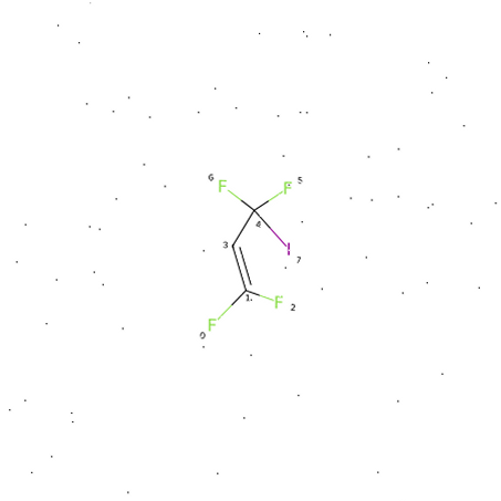 FC(F)=CC(F)(F)I